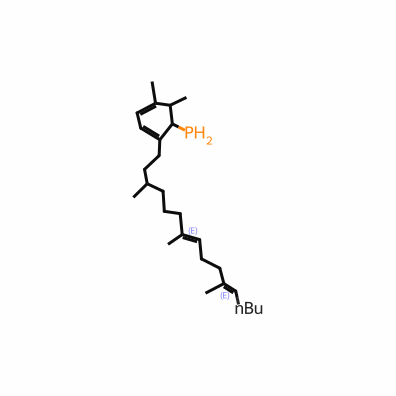 CCCC/C=C(\C)CC/C=C(\C)CCCC(C)CCC1=CC=C(C)C(C)C1P